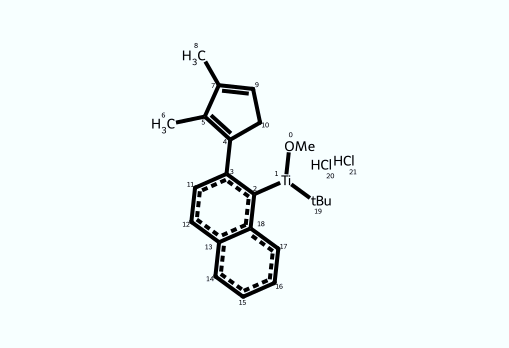 C[O][Ti]([c]1c(C2=C(C)C(C)=CC2)ccc2ccccc12)[C](C)(C)C.Cl.Cl